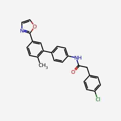 Cc1ccc(-c2ncco2)cc1-c1ccc(NC(=O)Cc2ccc(Cl)cc2)cc1